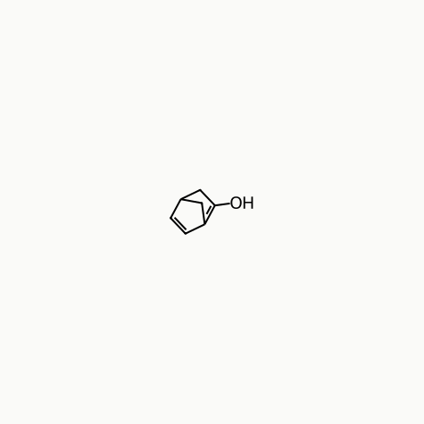 OC1=C2C=CC(C1)C2